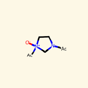 CC(=O)N1CC[N+]([O-])(C(C)=O)C1